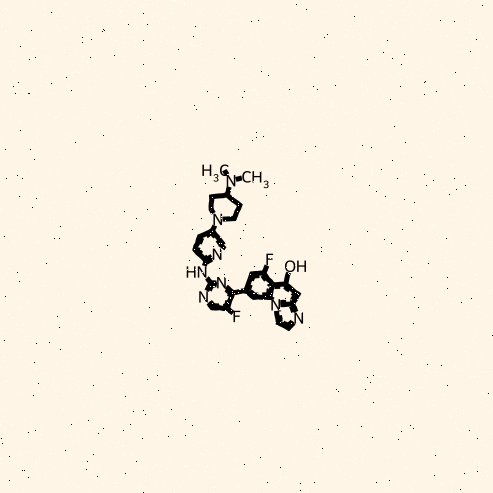 CN(C)C1CCN(c2ccc(Nc3ncc(F)c(-c4cc(F)c5c(O)cc6nccn6c5c4)n3)nc2)CC1